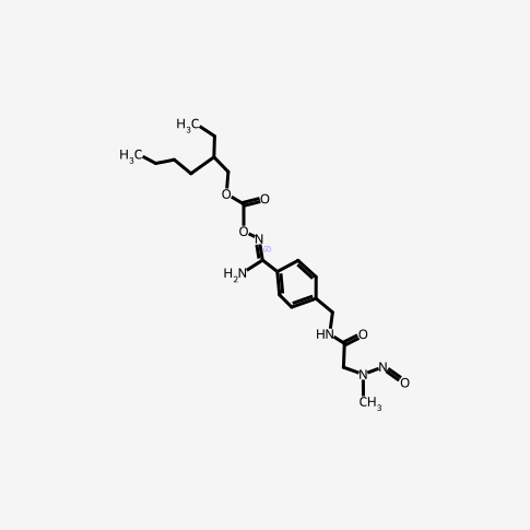 CCCCC(CC)COC(=O)O/N=C(\N)c1ccc(CNC(=O)CN(C)N=O)cc1